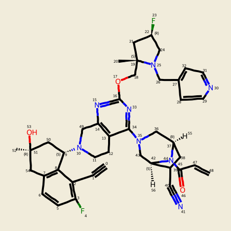 C#Cc1c(F)ccc2c1[C@@H](N1CCc3c(nc(OC[C@]4(C)C[C@@H](F)CN4Cc4ccncc4)nc3N3C[C@H]4CC(C#N)[C@@H](C3)N4C(=O)C=C)C1)C[C@](C)(O)C2